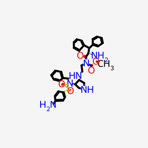 COC(=O)N(CCN[C@@H]1CNC[C@H]1N(Cc1ccccc1)S(=O)(=O)c1ccc(N)cc1)C(=O)[C@@H](N)C(c1ccccc1)c1ccccc1